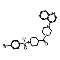 O=C(C1CCN(S(=O)(=O)c2ccc(Br)cc2)CC1)N1CCN(c2ccnc3ccccc23)CC1